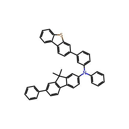 CC1(C)c2cc(-c3ccccc3)ccc2-c2ccc(N(c3ccccc3)c3cccc(-c4ccc5c(c4)sc4ccccc45)c3)cc21